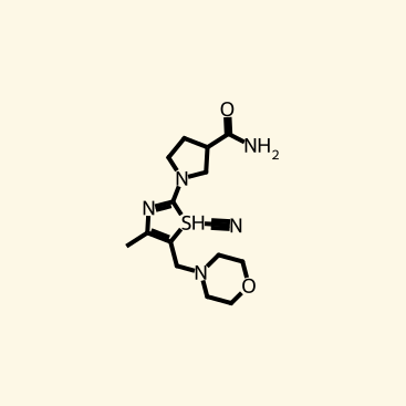 CC1=C(CN2CCOCC2)[SH](C#N)C(N2CCC(C(N)=O)C2)=N1